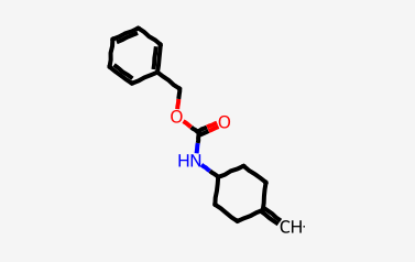 [CH]=C1CCC(NC(=O)OCc2ccccc2)CC1